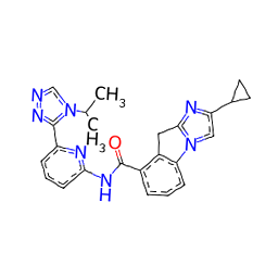 CC(C)n1cnnc1-c1cccc(NC(=O)c2cccc3c2Cc2nc(C4CC4)cn2-3)n1